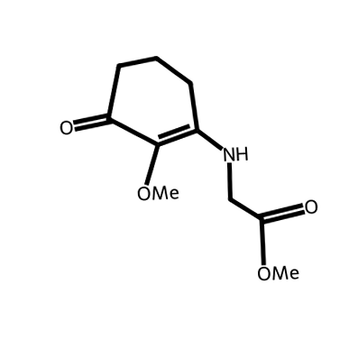 COC(=O)CNC1=C(OC)C(=O)CCC1